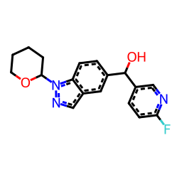 OC(c1ccc(F)nc1)c1ccc2c(cnn2C2CCCCO2)c1